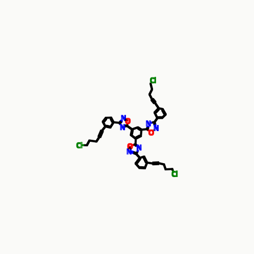 ClCCCC#Cc1cccc(-c2noc(-c3cc(-c4nc(-c5cccc(C#CCCCCl)c5)no4)cc(-c4nc(-c5cccc(C#CCCCCl)c5)no4)c3)n2)c1